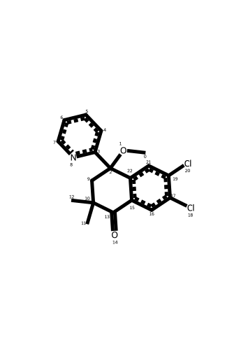 COC1(c2ccccn2)CC(C)(C)C(=O)c2cc(Cl)c(Cl)cc21